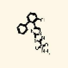 NS(=O)(=O)c1nn2cc(-c3c(Cl)cccc3-c3ccccc3)nc2s1